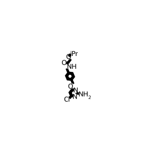 CC(C)OCC(=O)NCc1ccc(COc2cc(Cl)nc(N)n2)cc1